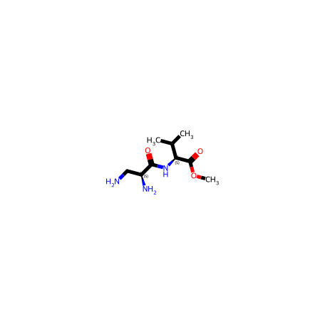 COC(=O)[C@@H](NC(=O)[C@@H](N)CN)C(C)C